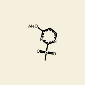 COc1ccnc(S(C)(=O)=O)n1